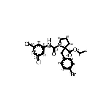 CCOC(=O)C1(Cc2ccc(Br)cc2)CCCN1C(=O)Nc1cc(Cl)nc(Cl)c1